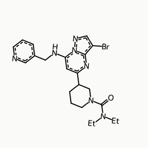 CCN(CC)C(=O)N1CCCC(c2cc(NCc3cccnc3)n3ncc(Br)c3n2)C1